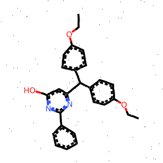 CCOc1ccc(C(c2ccc(OCC)cc2)c2cc(O)nc(-c3ccccc3)n2)cc1